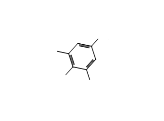 CCc1cc(C(=O)O)cc(C(=O)O)c1CC